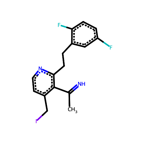 CC(=N)c1c(CI)ccnc1CCc1cc(F)ccc1F